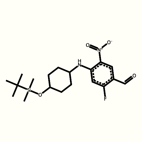 CC(C)(C)[Si](C)(C)OC1CCC(Nc2cc(F)c(C=O)cc2[N+](=O)[O-])CC1